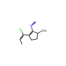 C=NC1=C(/C(Cl)=C\C)CCC1OC(C)=O